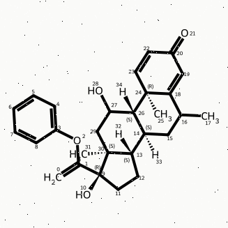 C=C(Oc1ccccc1)[C@@]1(O)CC[C@H]2[C@@H]3CC(C)C4=CC(=O)C=C[C@]4(C)[C@H]3C(O)C[C@@]21C